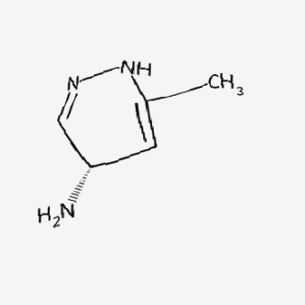 CC1=C[C@H](N)C=NN1